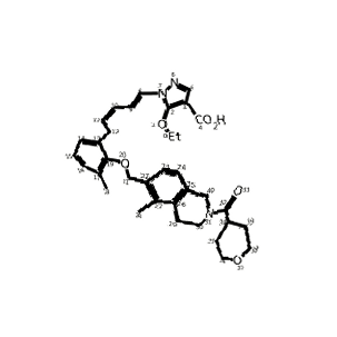 CCOc1c(C(=O)O)cnn1/C=C/C=C\Cc1cccc(C)c1OCc1ccc2c(c1C)CCN(C(=O)C1CCOCC1)C2